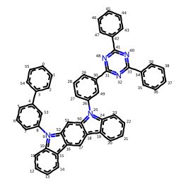 c1ccc(-c2cccc(-n3c4ccccc4c4cc5c6ccccc6n(-c6cccc(-c7nc(-c8ccccc8)nc(-c8ccccc8)n7)c6)c5cc43)c2)cc1